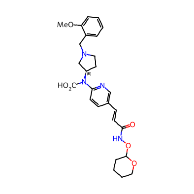 COc1ccccc1CN1CC[C@@H](N(C(=O)O)c2ccc(C=CC(=O)NOC3CCCCO3)cn2)C1